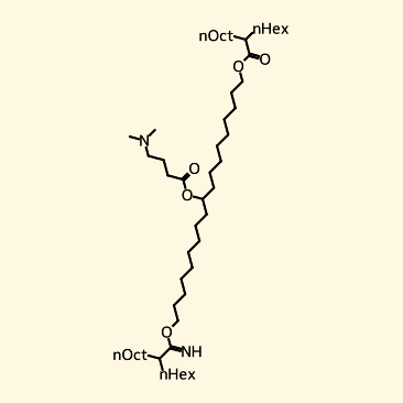 CCCCCCCCC(CCCCCC)C(=N)OCCCCCCCCCC(CCCCCCCCCOC(=O)C(CCCCCC)CCCCCCCC)OC(=O)CCCN(C)C